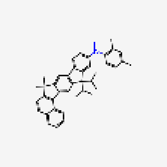 Cc1ccc(Nc2ccc3c(c2)C(C(C)C)(C(C)C)c2cc4c(cc2-3)C(C)(C)c2ccc3ccccc3c2-4)c(C)c1